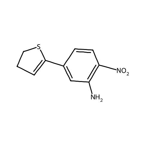 Nc1cc(C2=CCCS2)ccc1[N+](=O)[O-]